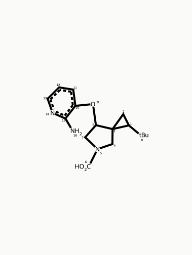 CC(C)(C)C1CC12CN(C(=O)O)CC2Oc1cccnc1N